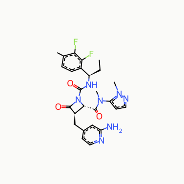 CC[C@@H](NC(=O)N1C(=O)[C@H](Cc2ccnc(N)c2)[C@H]1C(=O)N(C)c1ccnn1C)c1ccc(C)c(F)c1F